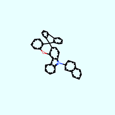 c1ccc2c(c1)Oc1c(ccc3c1c1ccccc1n3-c1ccc3ccccc3c1)C21c2ccccc2-c2ccccc21